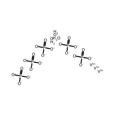 O.O.O.O=P([O-])([O-])[O-].O=P([O-])([O-])[O-].O=P([O-])([O-])[O-].O=P([O-])([O-])[O-].O=P([O-])([O-])[O-].[V+5].[V+5].[V+5]